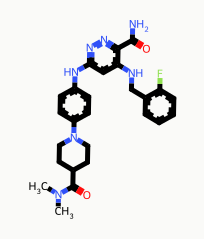 CN(C)C(=O)C1CCN(c2ccc(Nc3cc(NCc4ccccc4F)c(C(N)=O)nn3)cc2)CC1